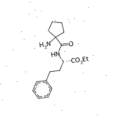 CCOC(=O)[C@H](CCc1ccccc1)NC(=O)C1(N)CCCC1